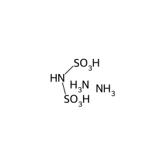 N.N.O=S(=O)(O)NS(=O)(=O)O